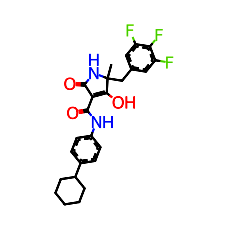 CC1(Cc2cc(F)c(F)c(F)c2)NC(=O)C(C(=O)Nc2ccc(C3CCCCC3)cc2)=C1O